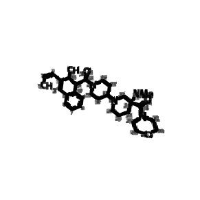 C/C=C\C1=Cc2ccccc2C(C(=O)N2CCC(N3CCC[C@@](NC)(C(=O)N4CCOCC4)C3)CC2)C1C